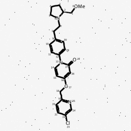 COC[C@@H]1CCCN1CCc1ccc(-n2ccc(OCc3ccc(Cl)cn3)cc2=O)cc1